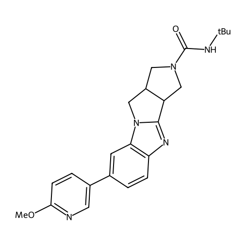 COc1ccc(-c2ccc3nc4n(c3c2)CC2CN(C(=O)NC(C)(C)C)CC42)cn1